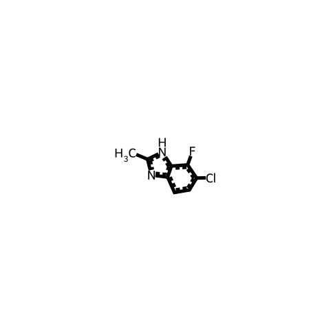 Cc1nc2ccc(Cl)c(F)c2[nH]1